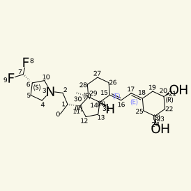 CC(CN1CC[C@H](C(F)F)C1)[C@H]1CC[C@H]2/C(=C/C=C3/C[C@@H](O)C[C@@H](O)C3)CCC[C@]12C